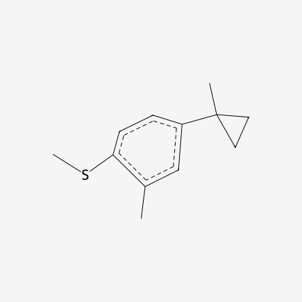 CSc1ccc(C2(C)CC2)cc1C